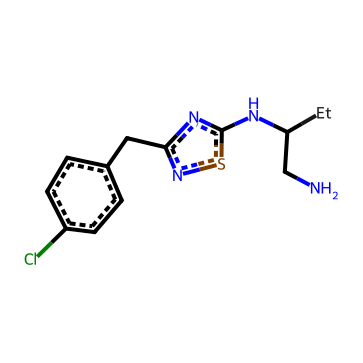 CCC(CN)Nc1nc(Cc2ccc(Cl)cc2)ns1